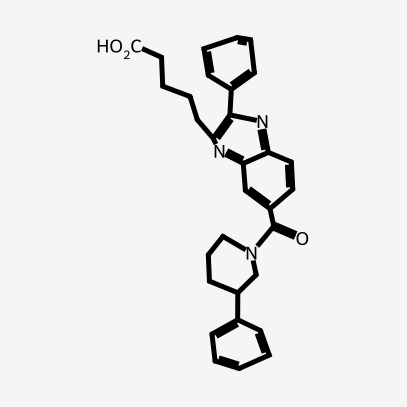 O=C(O)CCCCc1nc2cc(C(=O)N3CCCC(c4ccccc4)C3)ccc2nc1-c1ccccc1